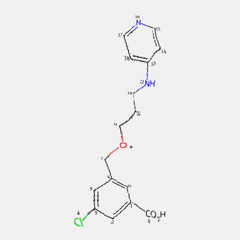 O=C(O)c1cc(Cl)cc(COCCCNc2ccncc2)c1